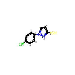 Sc1ccn(-c2ccc(Cl)cc2)n1